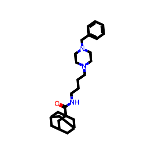 O=C(NCCCCN1CCN(Cc2ccccc2)CC1)C12CC3CC(CC(C3)C1)C2